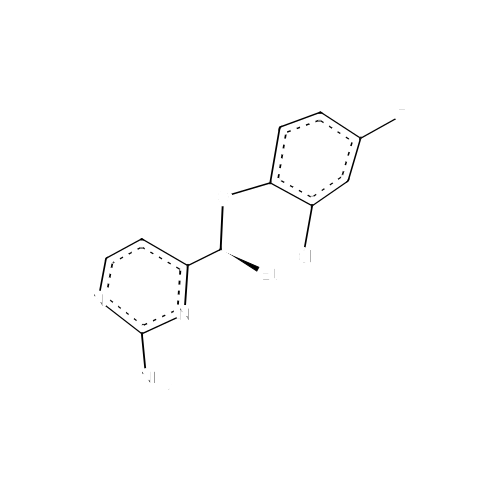 CC[C@H](Oc1ccc(F)cc1Cl)c1ccnc(N)n1